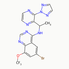 CC(Nc1ncnc2c(OC(F)(F)F)cc(Br)cc12)c1nccnc1-n1nccn1